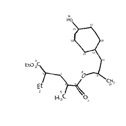 CCOC(=O)C(CC)CC(C)C(=O)OC(C)CC1CCC(O)CC1